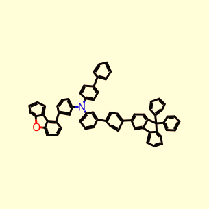 c1ccc(-c2ccc(N(c3cccc(-c4ccc(-c5ccc6c(c5)-c5ccccc5C6(c5ccccc5)c5ccccc5)cc4)c3)c3cccc(-c4cccc5oc6ccccc6c45)c3)cc2)cc1